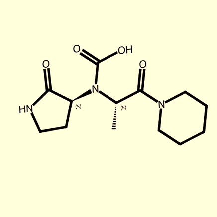 C[C@@H](C(=O)N1CCCCC1)N(C(=O)O)[C@H]1CCNC1=O